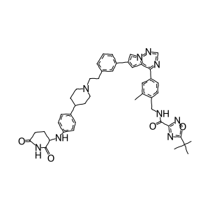 Cc1cc(-c2ncnn3cc(-c4cccc(CCN5CCC(c6ccc(NC7CCC(=O)NC7=O)cc6)CC5)c4)cc23)ccc1CNC(=O)c1noc(C(C)(C)C)n1